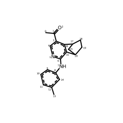 CC(=O)c1cnc(Nc2cccc(C)c2)c2c1C1CCC2C1